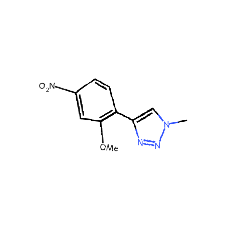 COc1cc([N+](=O)[O-])ccc1-c1cn(C)nn1